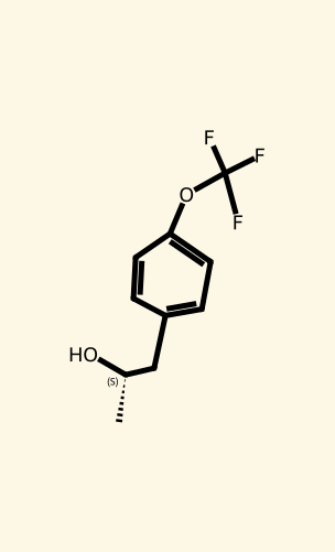 C[C@H](O)Cc1ccc(OC(F)(F)F)cc1